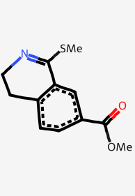 COC(=O)c1ccc2c(c1)C(SC)=NCC2